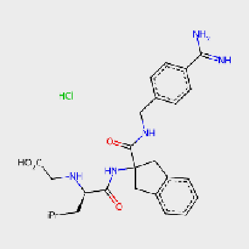 CC(C)C[C@@H](NCC(=O)O)C(=O)NC1(C(=O)NCc2ccc(C(=N)N)cc2)Cc2ccccc2C1.Cl